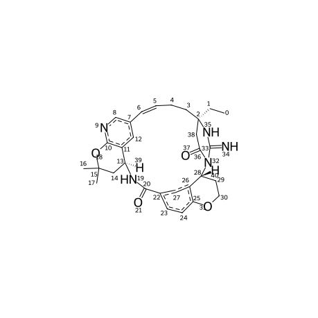 CC[C@]12CC/C=C\c3cnc4c(c3)[C@H](CC(C)(C)O4)NC(=O)c3ccc4c(c3)[C@@H](CCO4)N(C(=N)N1)C(=O)C2